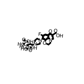 O=C(O)c1cn2c3c(c(N4CCN(CCC(O)(P(=O)(O)O)P(=O)(O)O)CC4)c(F)cc3c1=O)OCC2